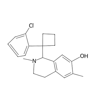 Cc1cc2c(cc1O)C(C1(c3ccccc3Cl)CCC1)N(C)CC2